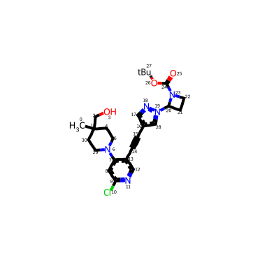 CC1(CO)CCN(c2cc(Cl)ncc2C#Cc2cnn(C3CCN3C(=O)OC(C)(C)C)c2)CC1